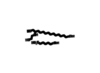 CCCCCCCCCCCCCCCC(=O)O.CCCCCCCCCCCCCCCCCCCCCCC(CO)NCCO